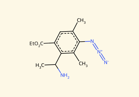 CCOC(=O)c1cc(C)c(N=[N+]=[N-])c(C)c1C(C)N